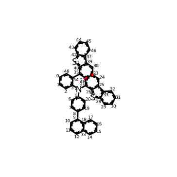 c1ccc(N(c2ccc(-c3cccc4ccccc34)cc2)c2cccc3c2sc2ccccc23)c(-c2cccc3c2sc2ccccc23)c1